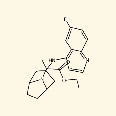 CCOC(=O)C(C)N1C2CCC1CC(Nc1ccnc3ccc(F)cc13)C2